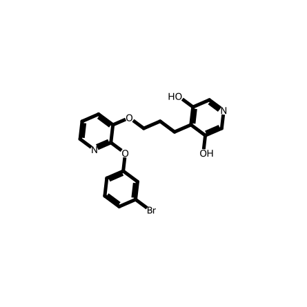 Oc1cncc(O)c1CCCOc1cccnc1Oc1cccc(Br)c1